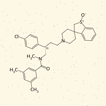 Cc1cc(C)cc(C(=O)N(C)C[C@@H](CCN2CCC3(CC2)C[S+]([O-])c2ccccc23)c2ccc(Cl)cc2)c1